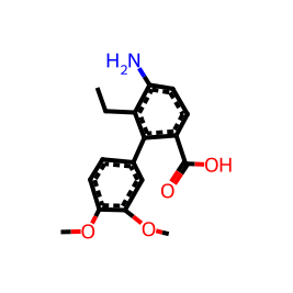 CCc1c(N)ccc(C(=O)O)c1-c1ccc(OC)c(OC)c1